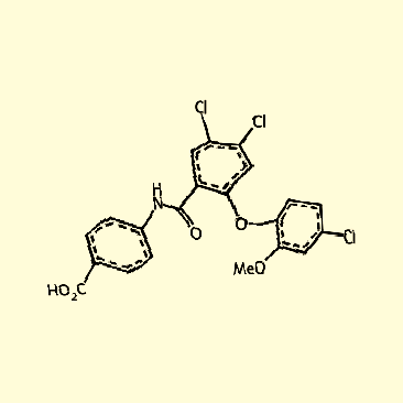 COc1cc(Cl)ccc1Oc1cc(Cl)c(Cl)cc1C(=O)Nc1ccc(C(=O)O)cc1